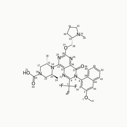 COc1cc(-n2c(C(F)(F)F)nc3c(N4[C@@H](C)CN(C(=O)O)C[C@@H]4C)nc(OC[C@@H]4CCCN4C)nc3c2=O)c2ccccc2c1